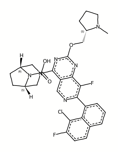 CN1CCC[C@H]1COc1nc(N2C[C@H]3CC[C@@H](C2)N3C(=O)O)c2cnc(-c3cccc4ccc(F)c(Cl)c34)c(F)c2n1